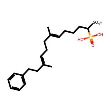 CC(=CCCCC(P(=O)(O)O)S(=O)(=O)O)CCC=C(C)CCc1ccccc1